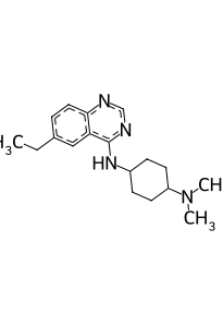 CCc1ccc2ncnc(NC3CCC(N(C)C)CC3)c2c1